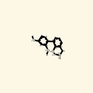 COc1ccc(-c2cccc3c2OSNC3)c(OC)c1